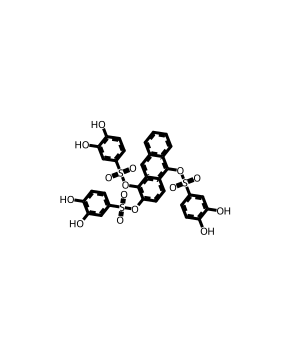 O=S(=O)(Oc1ccc2c(OS(=O)(=O)c3ccc(O)c(O)c3)c3ccccc3cc2c1OS(=O)(=O)c1ccc(O)c(O)c1)c1ccc(O)c(O)c1